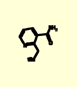 CC(C)(C)Cc1ncccc1C(N)=O